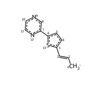 [CH2]/C=C/c1ccc(-c2cnccn2)s1